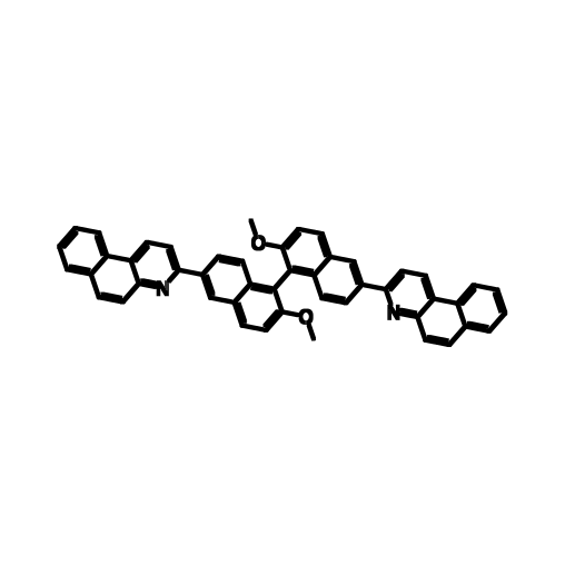 COc1ccc2cc(-c3ccc4c(ccc5ccccc54)n3)ccc2c1-c1c(OC)ccc2cc(-c3ccc4c(ccc5ccccc54)n3)ccc12